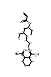 C=CC(=O)OC(CC)CC(CC)CCCC.O=C(O)C1CCCCC1C(=O)O